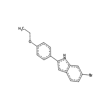 CCOc1ccc(-c2cc3ccc(Br)cc3[nH]2)cc1